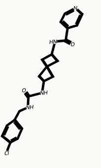 O=C(NCc1ccc(Cl)cc1)NC1CC2(C1)CC(NC(=O)c1ccncc1)C2